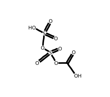 O=C(O)OS(=O)(=O)OS(=O)(=O)O